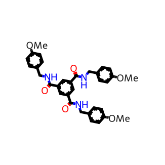 COc1ccc(CNC(=O)c2cc(C(=O)NCc3ccc(OC)cc3)cc(C(=O)NCc3ccc(OC)cc3)c2)cc1